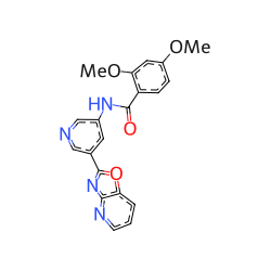 COc1ccc(C(=O)Nc2cncc(-c3nc4ncccc4o3)c2)c(OC)c1